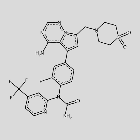 NC(=O)N(c1cc(C(F)(F)F)ccn1)c1ccc(-c2cc(CN3CCS(=O)(=O)CC3)n3ncnc(N)c23)cc1F